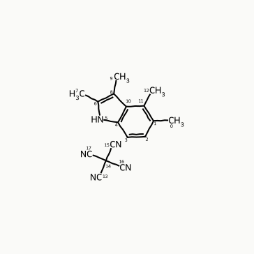 Cc1ccc2[nH]c(C)c(C)c2c1C.N#CC(C#N)(C#N)C#N